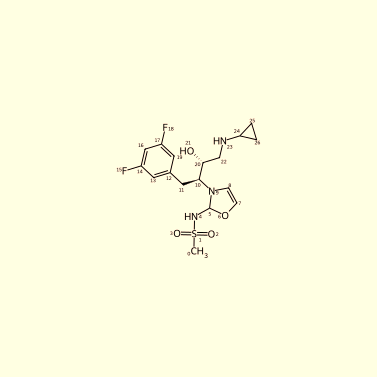 CS(=O)(=O)NC1OC=CN1[C@@H](Cc1cc(F)cc(F)c1)[C@H](O)CNC1CC1